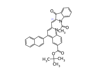 CC(=O)N1/C(=C\c2cc(-c3ccc4ccccc4c3)c3cc(C(=O)OC(C)(C)C)ccc3n2)C(=O)c2ccccc21